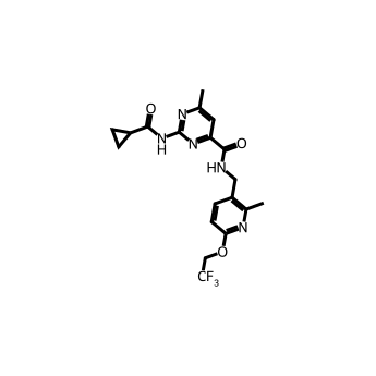 Cc1cc(C(=O)NCc2ccc(OCC(F)(F)F)nc2C)nc(NC(=O)C2CC2)n1